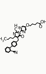 CCCCc1nc(C)n(-c2ncc(OCCCCC(=O)O)cn2)c(=O)c1Cc1ccc(-c2ccccc2C#N)cc1